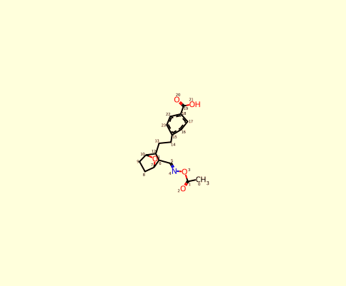 CC(=O)O/N=C/C1C2CCC(O2)C1CCc1ccc(C(=O)O)cc1